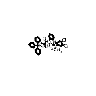 C[C@@H](CNC(c1ccccc1)(c1ccccc1)c1ccccc1)C(=O)Oc1ccccc1-n1c(=O)n(C)c2cc(Cl)c(Cl)cc21